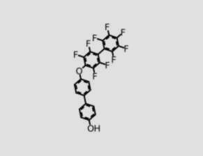 Oc1ccc(-c2ccc(Oc3c(F)c(F)c(-c4c(F)c(F)c(F)c(F)c4F)c(F)c3F)cc2)cc1